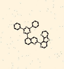 c1ccc(-c2nc(-c3ccccc3)nc(-c3cccc4nc(-c5nccc6oc7cccnc7c56)ccc34)n2)cc1